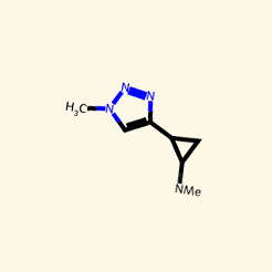 CNC1CC1c1cn(C)nn1